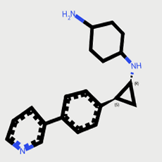 NC1CCC(N[C@@H]2C[C@H]2c2ccc(-c3cccnc3)cc2)CC1